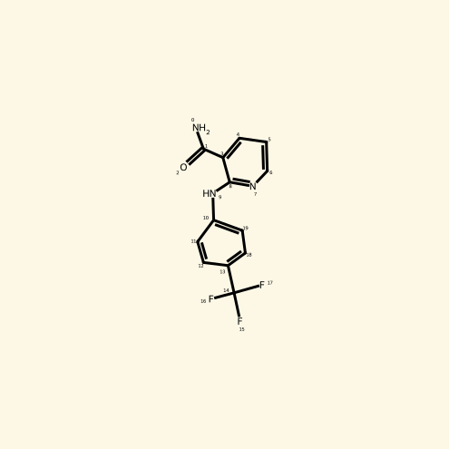 NC(=O)c1cccnc1Nc1ccc(C(F)(F)F)cc1